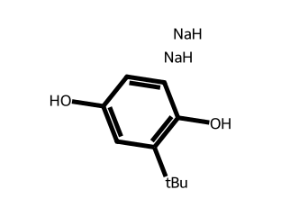 CC(C)(C)c1cc(O)ccc1O.[NaH].[NaH]